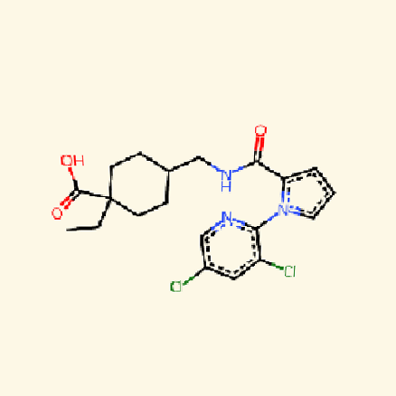 CCC1(C(=O)O)CCC(CNC(=O)c2cccn2-c2ncc(Cl)cc2Cl)CC1